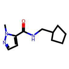 Cn1nccc1C(=O)NCC1CCCC1